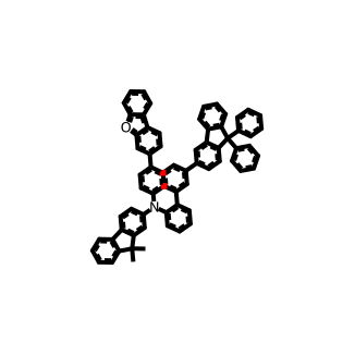 CC1(C)c2ccccc2-c2ccc(N(c3ccc(-c4ccc5c(c4)oc4ccccc45)cc3)c3ccccc3-c3cccc(-c4ccc5c(c4)-c4ccccc4C5(c4ccccc4)c4ccccc4)c3)cc21